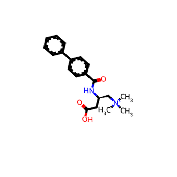 C[N+](C)(C)C[C@@H](CC(=O)O)NC(=O)c1ccc(-c2ccccc2)cc1